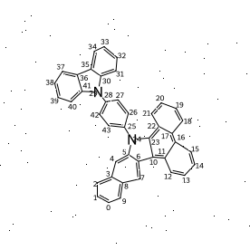 c1ccc2cc3c(cc2c1)c1c2ccccc2c2ccccc2c1n3-c1ccc(-n2c3ccccc3c3ccccc32)cc1